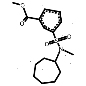 COC(=O)c1cccc(S(=O)(=O)N(C)C2CCCCCC2)c1